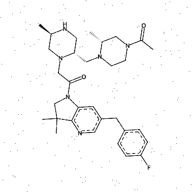 CC(=O)N1CCN(C[C@H]2CN[C@H](C)CN2CC(=O)N2CC(C)(C)c3ncc(Cc4ccc(F)cc4)cc32)[C@H](C)C1